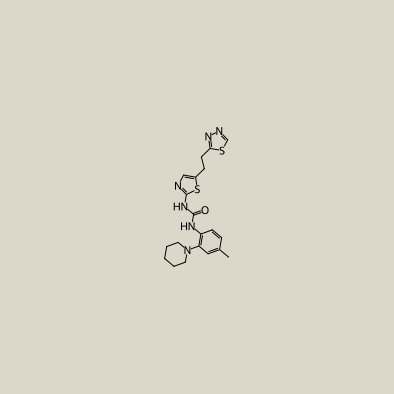 Cc1ccc(NC(=O)Nc2ncc(CCc3nncs3)s2)c(N2CCCCC2)c1